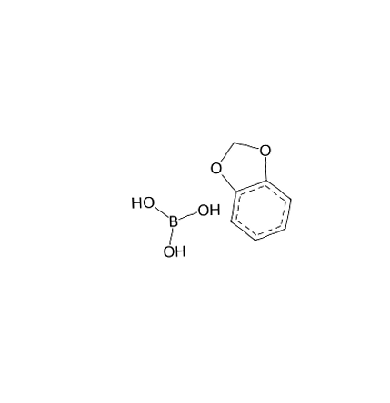 OB(O)O.c1ccc2c(c1)OCO2